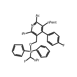 CCCCCc1c(C(C)=O)nc(C(C)C)c(CO[Si](c2ccccc2)(c2ccccc2)C(F)CCC)c1-c1ccc(F)cc1